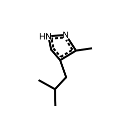 Cc1n[nH]cc1CC(C)C